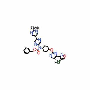 COc1ncc(-c2cnc(N(C(=O)OCc3ccccc3)C3CCC(Oc4ncc(C#N)c(-c5nocc5Cl)n4)CC3)cn2)cn1